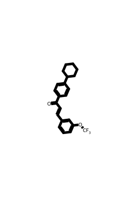 O=C(C=Cc1cccc(OC(F)(F)F)c1)c1ccc(C2CCCCC2)cc1